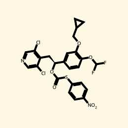 O=C(O[C@@H](Cc1c(Cl)cncc1Cl)c1ccc(OC(F)F)c(OCC2CC2)c1)Sc1ccc([N+](=O)[O-])cc1